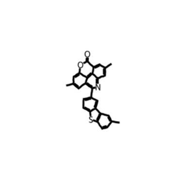 Cc1cc2oc(=O)c3cc(C)cc4nc(-c5ccc6sc7ccc(C)cc7c6c5)c(c1)c2c43